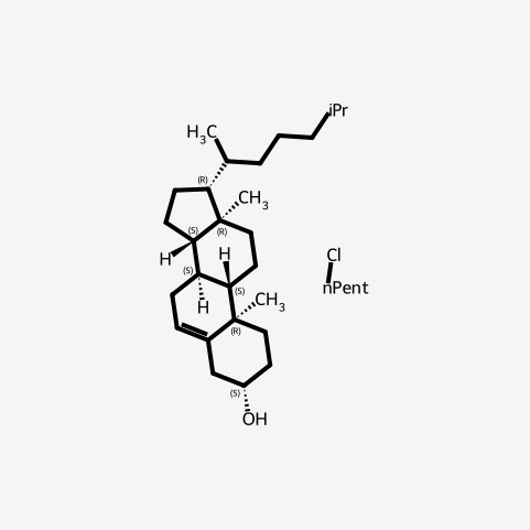 CC(C)CCCC(C)[C@H]1CC[C@H]2[C@@H]3CC=C4C[C@@H](O)CC[C@]4(C)[C@H]3CC[C@]12C.CCCCCCl